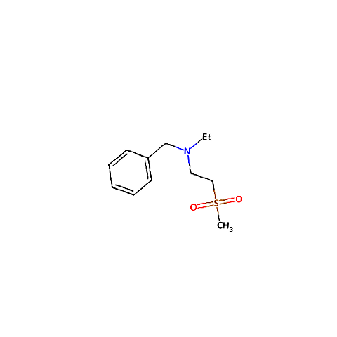 CCN(CCS(C)(=O)=O)Cc1ccccc1